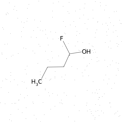 CCC[C](O)F